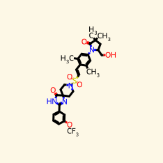 Cc1cc(N2C(=O)C(C)(C)CC2CO)cc(C)c1C=CS(=O)(=O)N1CCC2(CC1)N=C(c1cccc(OC(F)(F)F)c1)NC2=O